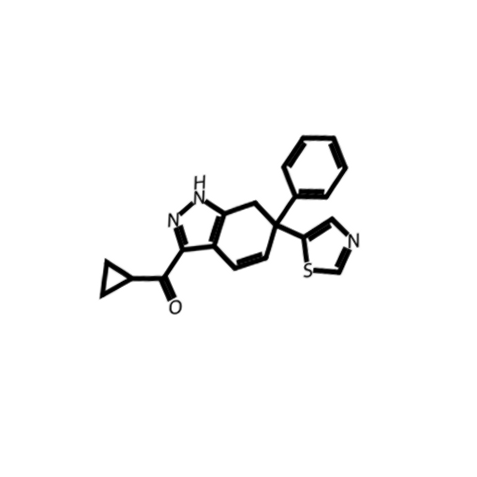 O=C(c1n[nH]c2c1C=CC(c1ccccc1)(c1cncs1)C2)C1CC1